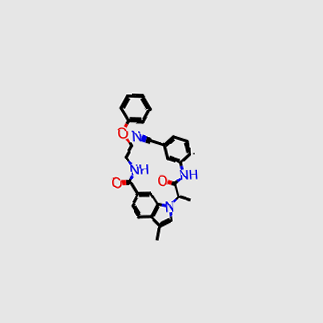 Cc1cn(C(C)C(=O)Nc2[c]ccc(C#N)c2)c2cc(C(=O)NCCOc3ccccc3)ccc12